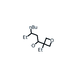 CCCCC(CC)CC([O])C1(CC)COC1